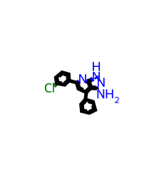 Nc1n[nH]c2nc(-c3cccc(Cl)c3)cc(-c3ccccc3)c12